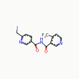 O=C(NC(=O)c1cnccc1C(F)(F)F)c1ccc(CI)nc1